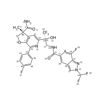 C[C@]1(C(N)=O)COc2c1cc([C@@](O)(CNC(=O)c1cc(F)c3nn(C(F)F)cc3c1)C(F)(F)F)nc2-c1ccc(F)cc1